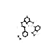 Cc1cc(C(C)Nc2cccc3c2C(=O)C(=O)N3)c2oc(-c3ccccc3)c(C)c(=O)c2c1.O=C(O)C(F)(F)F